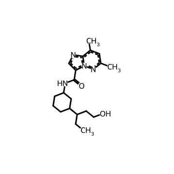 CCC(CCO)C1CCCC(NC(=O)c2cnc3c(C)cc(C)nn23)C1